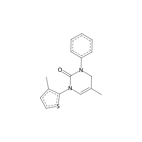 CC1=CN(c2sccc2C)C(=O)N(c2ccccc2)C1